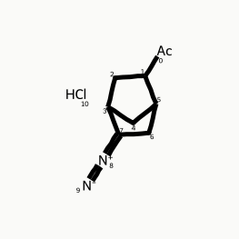 CC(=O)C1CC2CC1CC2=[N+]=[N-].Cl